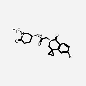 CN1C[C@@H](NC(=O)CN2CC3(CC3)c3cc(Br)ccc3C2=O)CCC1=O